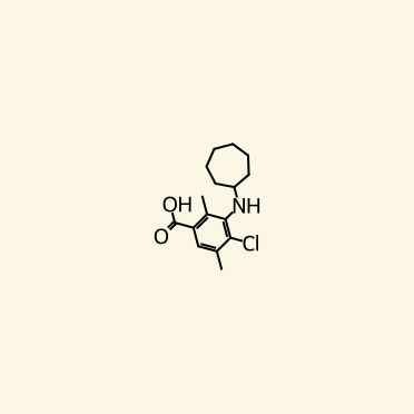 Cc1cc(C(=O)O)c(C)c(NC2CCCCCC2)c1Cl